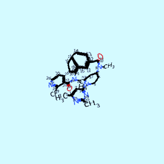 Cc1cc(N2CCC(N(C)C(=O)c3ccc4c(c3)[C@H](N(C)C(=O)c3cccnc3C(F)(F)F)CC4)CC2)nc(C)n1